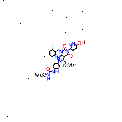 CNCc1c2c(=O)n(-c3ccc(O)nn3)c(=O)n(Cc3c(F)cccc3F)c2nn1-c1ccc(NC(=O)NOC)cc1